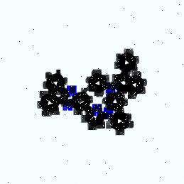 c1ccc(-c2nc3ccc(-c4cccc(-n5c6ccccc6c6cc7c8c9ccccc9c(-c9ccccc9)cc8n(-c8ccccc8)c7cc65)n4)cc3nc2-c2ccccc2)cc1